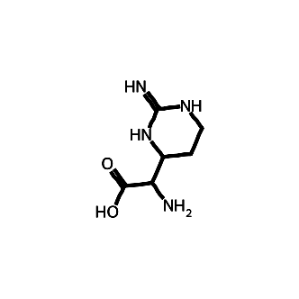 N=C1NCCC(C(N)C(=O)O)N1